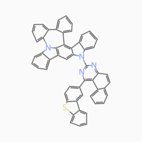 c1ccc2c(c1)-c1ccccc1-n1c3ccccc3c3cc4c(c-2c31)c1ccccc1n4-c1nc(-c2ccc3sc4ccccc4c3c2)c2c(ccc3ccccc32)n1